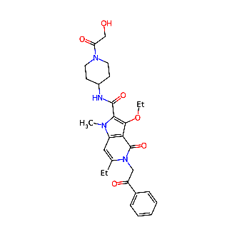 CCOc1c(C(=O)NC2CCN(C(=O)CO)CC2)n(C)c2cc(CC)n(CC(=O)c3ccccc3)c(=O)c12